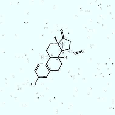 C[C@]12CC[C@@H]3c4ccc(O)cc4CC[C@H]3[C@@H]1[C@@H](C=O)CC2=O